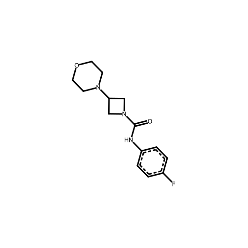 O=C(Nc1ccc(F)cc1)N1CC(N2CCOCC2)C1